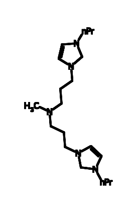 CCCN1C=CN(CCCN(C)CCCN2C=CN(CCC)C2)C1